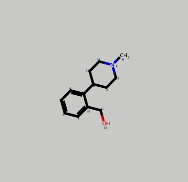 CN1CCC(c2ccccc2CO)CC1